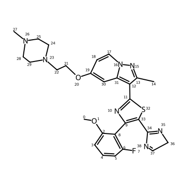 COc1cccc(F)c1-c1nc(-c2c(C)nn3ccc(OCCN4CCN(C)CC4)cc23)sc1C1=NCC=N1